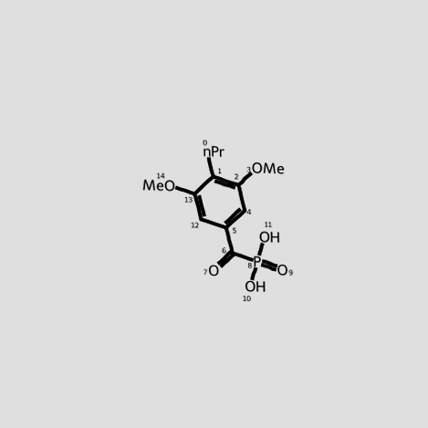 CCCc1c(OC)cc(C(=O)P(=O)(O)O)cc1OC